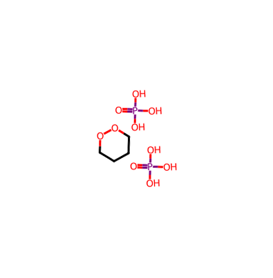 C1CCOOC1.O=P(O)(O)O.O=P(O)(O)O